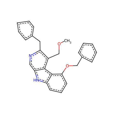 COCc1c(Cc2ccccc2)ncc2[nH]c3cccc(OCc4ccccc4)c3c12